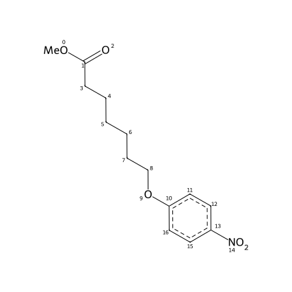 COC(=O)CCCCCCOc1ccc([N+](=O)[O-])cc1